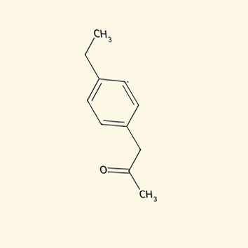 CCc1[c]cc(CC(C)=O)cc1